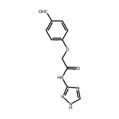 O=Cc1ccc(OCC(=O)Nc2nc[nH]n2)cc1